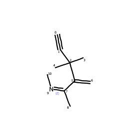 C#CC(C)(C)C(=C)/C(C)=N\C